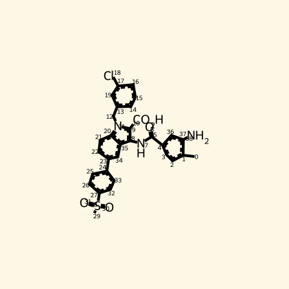 Cc1ccc(C(=O)Nc2c(C(=O)O)n(Cc3cccc(Cl)c3)c3ccc(-c4ccc(S(C)(=O)=O)cc4)cc23)cc1N